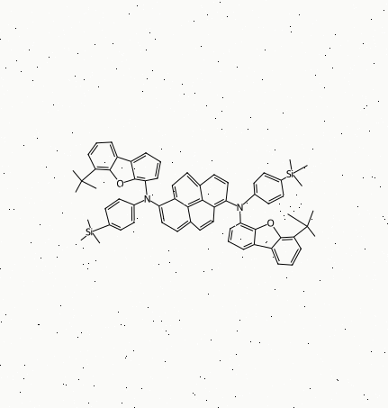 CC(C)(C)c1cccc2c1oc1c(N(c3ccc([Si](C)(C)C)cc3)c3ccc4ccc5c(N(c6ccc([Si](C)(C)C)cc6)c6cccc7c6oc6c(C(C)(C)C)cccc67)ccc6ccc3c4c65)cccc12